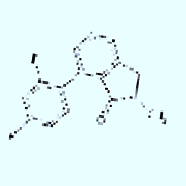 CC1Cc2cccc(-c3ccc(F)cc3F)c2C1=O